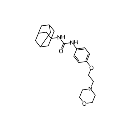 O=C(Nc1ccc(OCCN2CCOCC2)cc1)NC12CC3CC(CC(C3)C1)C2